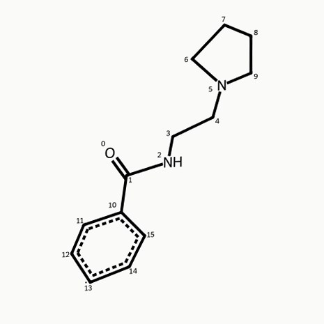 O=C(NCCN1CCCC1)c1cc[c]cc1